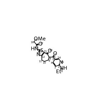 CCNc1ccc(C(=O)C2CCCc3nc(NC(=O)COC)sc3C2=O)cn1